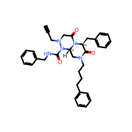 C#CCN1CC(=O)N2[C@@H](Cc3ccccc3)C(=O)N(CCCCc3ccccc3)C[C@@H]2N1C(=O)NCc1ccccc1